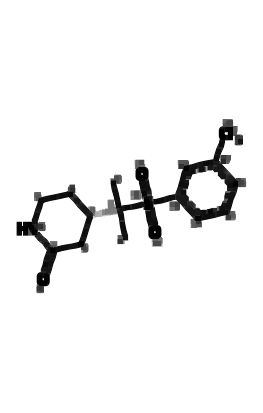 CC(C)([C@H]1CCNC(=O)C1)S(=O)(=O)c1cccc(C(F)(F)F)c1